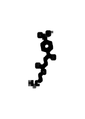 CCCOC(=O)CCC(=O)c1ccc([N+](=O)[O-])cc1